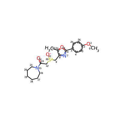 COc1ccc(-c2nc(C[S+]([O-])CC(=O)N3CCCCCC3)c(C)o2)cc1